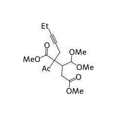 CCC#CCC(C(C)=O)(C(=O)OC)C(CC(=O)OC)C(OC)OC